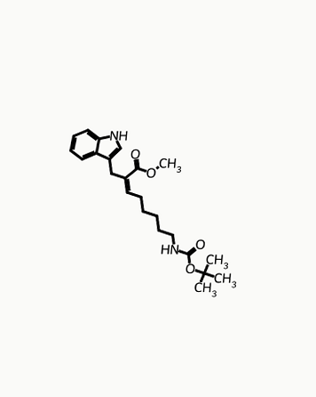 COC(=O)C(=CCCCCCNC(=O)OC(C)(C)C)Cc1c[nH]c2ccccc12